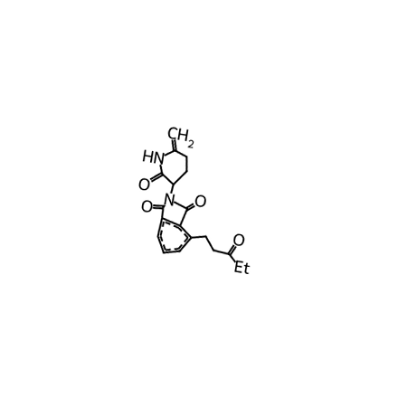 C=C1CCC(N2C(=O)c3cccc(CCC(=O)CC)c3C2=O)C(=O)N1